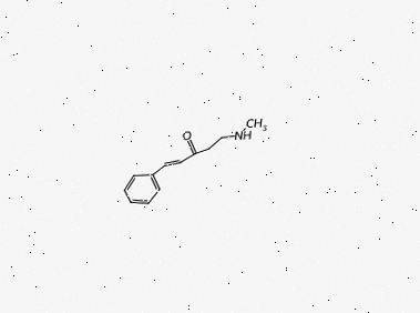 CNCCC(=O)/C=C/c1ccccc1